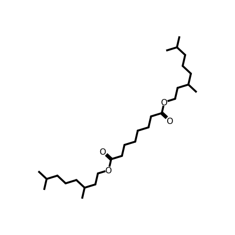 CC(C)CCCC(C)CCOC(=O)CCCCCCC(=O)OCCC(C)CCCC(C)C